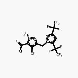 Cn1nc(Cn2nc(C(F)(F)C(F)(F)F)cc2C(F)(F)C(F)(F)F)c(C(F)(F)F)c1C(=O)Cl